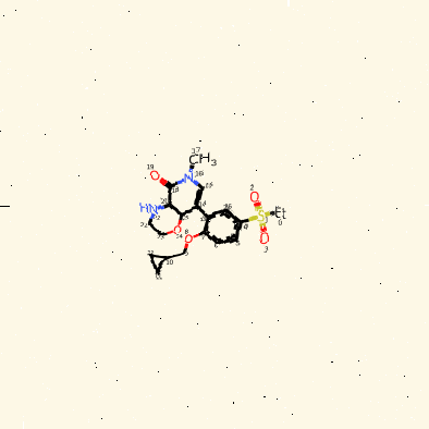 CCS(=O)(=O)c1ccc(OCC2CC2)c(C2=CN(C)C(=O)C3NCCOC23)c1